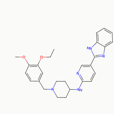 CCOc1cc(CN2CCC(Nc3ccc(-c4nc5ccccc5[nH]4)cn3)CC2)ccc1OC